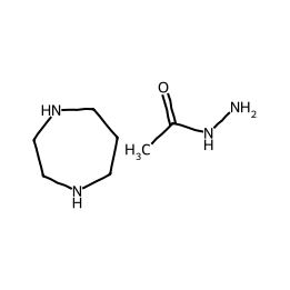 C1CNCCNC1.CC(=O)NN